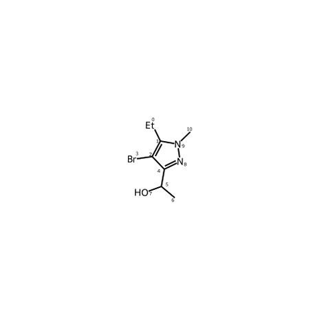 CCc1c(Br)c(C(C)O)nn1C